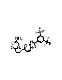 NC(=O)CN1C(=O)CCN1C(=O)/C=C\n1cnc(-c2cc(C(F)(F)F)cc(C(F)(F)F)c2)n1